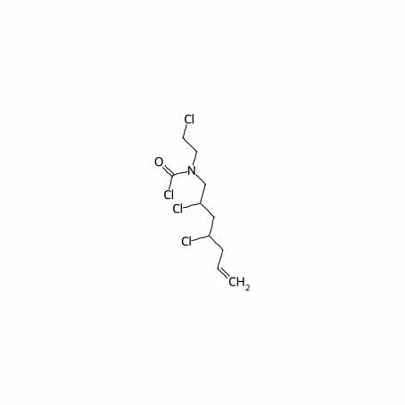 C=CCC(Cl)CC(Cl)CN(CCCl)C(=O)Cl